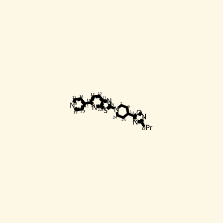 CC(C)c1noc(C2CCN(c3nc4ccc(-c5ccncc5)nc4s3)CC2)n1